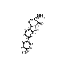 CCC1c2ccc(-c3ccc(Cl)cc3)cc2CC1C(=O)ON